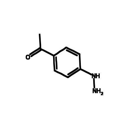 CC(=O)c1ccc(NN)cc1